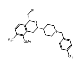 COc1c(C)ccc2c1C[C@@H](C1CCN(Cc3ccc(C(F)(F)F)cc3)CC1)O[C@H]2CBr